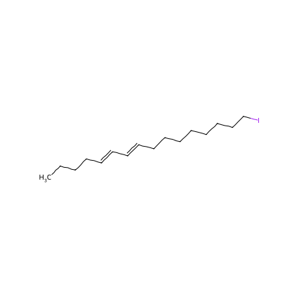 CCCCC=CC=CCCCCCCCCI